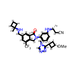 CO[C@H]1C[C@](c2cc(N[C@H](C)CC#N)cc(N3Cc4c(cc(CNC5(C)CCC5)cc4C(F)(F)F)C3=O)c2)(c2nncn2C)C1